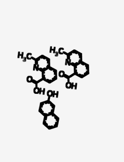 Cc1ccc2cccc(C(=O)O)c2n1.Cc1ccc2cccc(C(=O)O)c2n1.Oc1ccc2ccccc2c1